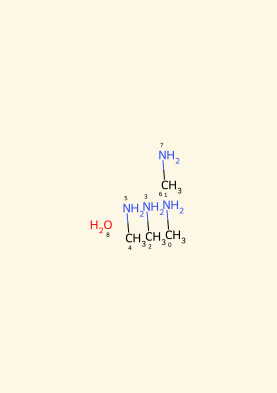 CN.CN.CN.CN.O